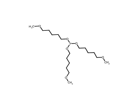 COCCCCC[O][Y]([O]CCCCCOC)[O]CCCCCOC